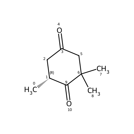 C[C@@H]1CC(=O)CC(C)(C)C1=O